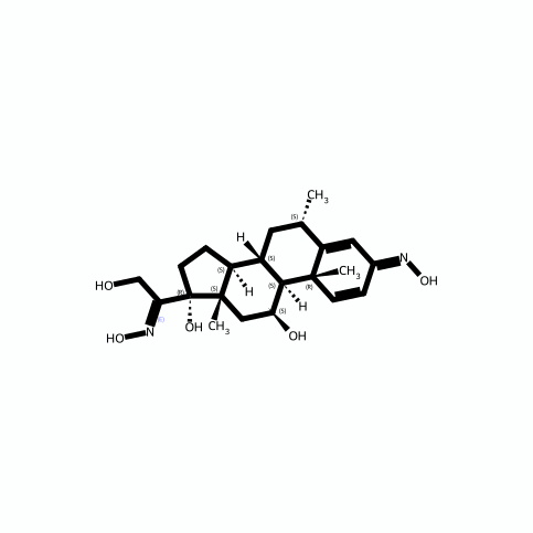 C[C@H]1C[C@@H]2[C@H]([C@@H](O)C[C@@]3(C)[C@H]2CC[C@]3(O)/C(CO)=N/O)[C@@]2(C)C=CC(=NO)C=C12